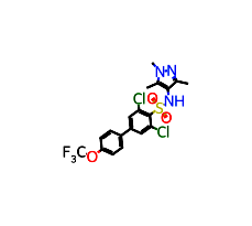 Cc1nn(C)c(C)c1NS(=O)(=O)c1c(Cl)cc(-c2ccc(OC(F)(F)F)cc2)cc1Cl